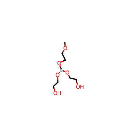 COCCOB(OCCO)OCCO